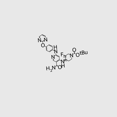 CC(C)(C)OC(=O)N1CC[C@@H](Nc2cc(Nc3ccc(Oc4ncccn4)cc3)ncc2C(N)=O)[C@@H](F)C1